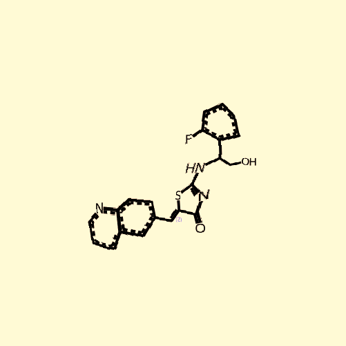 O=C1N=C(NC(CO)c2ccccc2F)S/C1=C\c1ccc2ncccc2c1